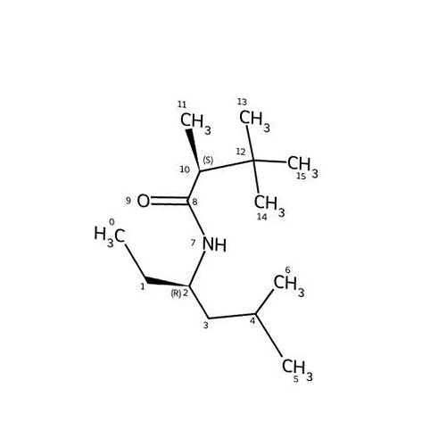 CC[C@H](CC(C)C)NC(=O)[C@@H](C)C(C)(C)C